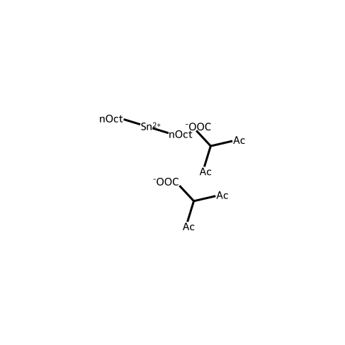 CC(=O)C(C(C)=O)C(=O)[O-].CC(=O)C(C(C)=O)C(=O)[O-].CCCCCCC[CH2][Sn+2][CH2]CCCCCCC